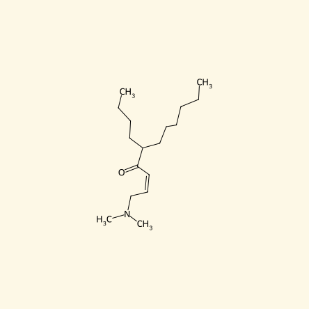 CCCCCCC(CCCC)C(=O)/C=C\CN(C)C